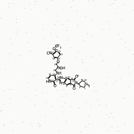 CN1CCC(N2C(=O)c3cc4nc(-c5c(NCC(O)COc6ccc(OC(F)(F)F)c(Cl)c6)cc[nH]c5=O)[nH]c4cc3C2=O)CC1